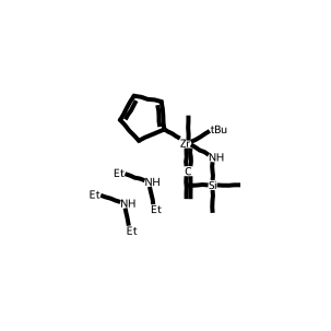 C=[C]=[Zr]([CH3])([NH][Si](C)(C)C)([C]1=CC=CC1)[C](C)(C)C.CCNCC.CCNCC